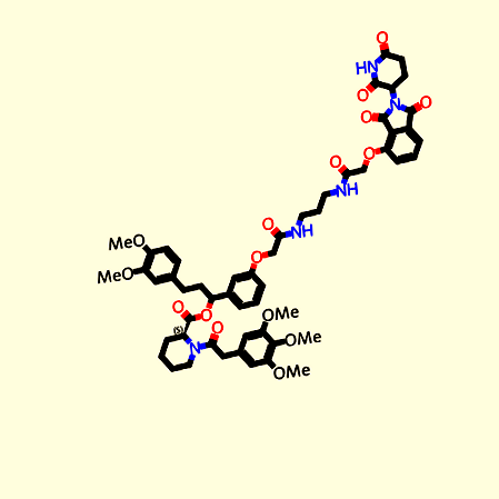 COc1ccc(CCC(OC(=O)[C@@H]2CCCCN2C(=O)Cc2cc(OC)c(OC)c(OC)c2)c2cccc(OCC(=O)NCCCNC(=O)COc3cccc4c3C(=O)N(C3CCC(=O)NC3=O)C4=O)c2)cc1OC